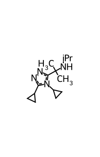 CC(C)NC(C)(C)c1nnc(C2CC2)n1C1CC1